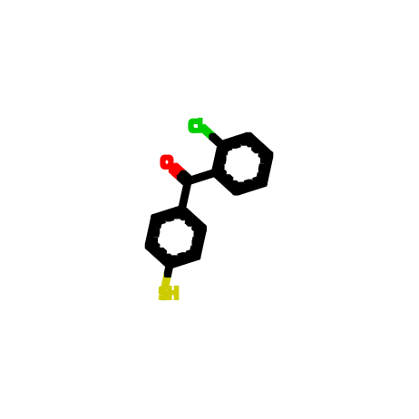 O=C(c1ccc(S)cc1)c1ccccc1Cl